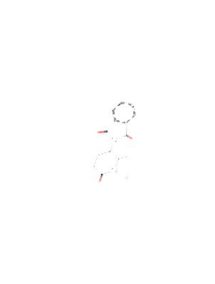 O=C1CCC(N2C(=O)c3ccccc3C2=O)C(O)N1O